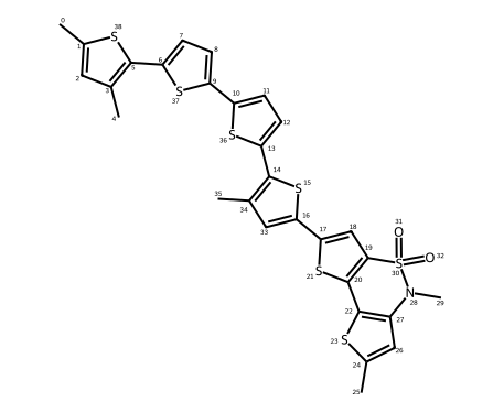 Cc1cc(C)c(-c2ccc(-c3ccc(-c4sc(-c5cc6c(s5)-c5sc(C)cc5N(C)S6(=O)=O)cc4C)s3)s2)s1